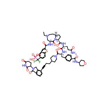 CCN1CC[C@H]2CC[C@@H](C(=O)N[C@@H](CCC(N)=O)C(=O)N[C@@H](Cc3ccc(C(=O)NC4CCOCC4)cc3)C(=O)N3CCC(CCC#Cc4cccc5c4CN(C4CCC(=O)NC4=O)C5=O)CC3)N2C(=O)[C@@H](NC(=O)c2cc3cc(C(F)(F)P(=O)(O)O)ccc3s2)C1